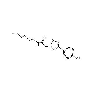 CCCCCCNC(=O)CC1CC(c2ccc(O)cc2)=NO1